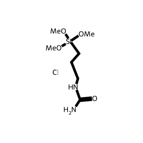 CO[Si](CCCNC(N)=O)(OC)OC.[C]